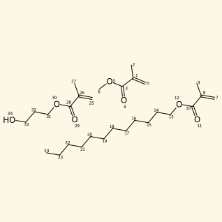 C=C(C)C(=O)OC.C=C(C)C(=O)OCCCCCCCCCCCC.C=C(C)C(=O)OCCCO